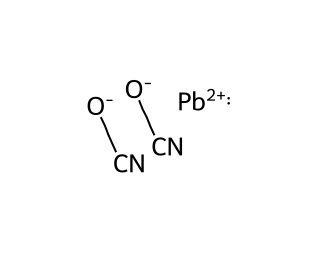 N#C[O-].N#C[O-].[Pb+2]